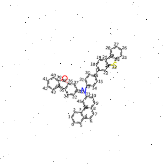 c1ccc2c(c1)ccc1ccc(N(c3ccc(-c4ccc5c(c4)sc4ccccc45)cc3)c3ccc4c(c3)oc3ccccc34)cc12